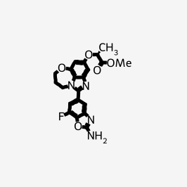 COC(=O)[C@H](C)Oc1cc2c3c(c1)nc(-c1cc(F)c4oc(N)nc4c1)n3CCCO2